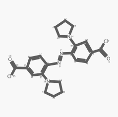 O=C(Cl)c1ccc(N=Nc2ccc(C(=O)Cl)cc2N2CCCC2)c(N2CCCC2)c1